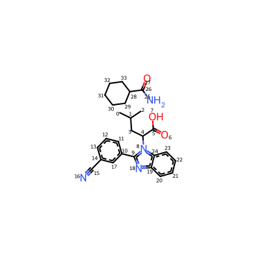 CC(C)CC(C(=O)O)n1c(-c2cccc(C#N)c2)nc2ccccc21.NC(=O)C1CCCCC1